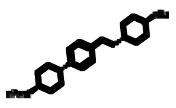 CCCCC[C@H]1CC[C@H](c2ccc(CC[C@H]3CC[C@H](CCCC)CC3)cc2)CC1